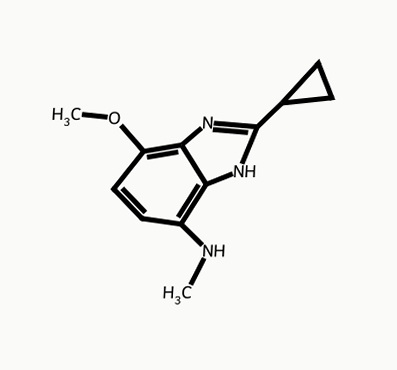 CNc1ccc(OC)c2nc(C3CC3)[nH]c12